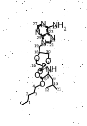 CCCCCOC(=O)C(CC(C)C)NP1(=O)CO[C@@H](Cn2cnc3c(N)ncnc32)CO1